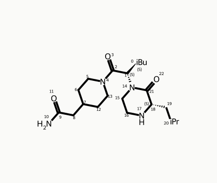 CC[C@H](C)[C@@H](C(=O)N1CCC(CC(N)=O)CC1)N1CCN[C@@H](CC(C)C)C1=O